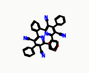 N#Cc1c(-c2ccccc2)nc(-c2ccccc2-c2nc(-c3ccccc3)c(C#N)c(-c3ccccc3)c2C#N)c(C#N)c1-c1ccccc1